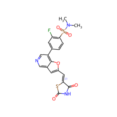 CN(C)S(=O)(=O)c1ccc(-c2cncc3cc(/C=C4\SC(=O)NC4=O)oc23)cc1F